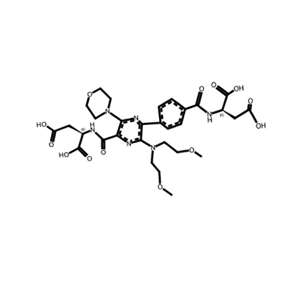 COCCN(CCOC)c1nc(C(=O)N[C@H](CC(=O)O)C(=O)O)c(N2CCOCC2)nc1-c1ccc(C(=O)N[C@H](CC(=O)O)C(=O)O)cc1